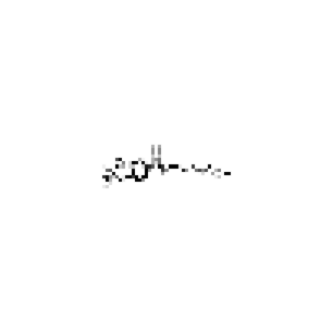 CS(=O)(=O)Cc1ccc(NN=CCCCCO)cc1